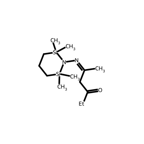 CCC(=O)CC(C)=NN1[Si](C)(C)CCC[Si]1(C)C